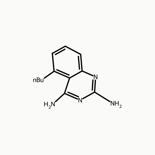 CCCCc1cccc2nc(N)nc(N)c12